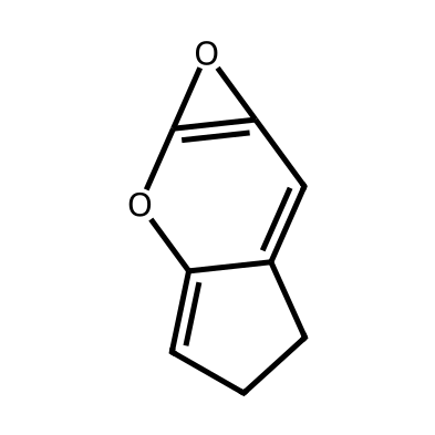 C1=C2CCC=C2OC2=C1O2